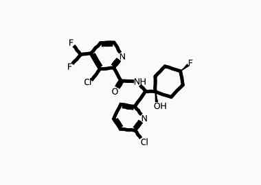 O=C(NC(c1cccc(Cl)n1)[C@]1(O)CC[C@@H](F)CC1)c1nccc(C(F)F)c1Cl